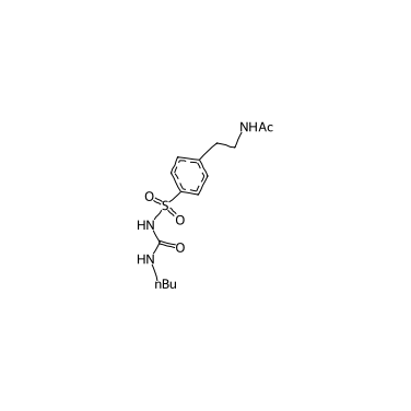 CCCCNC(=O)NS(=O)(=O)c1ccc(CCNC(C)=O)cc1